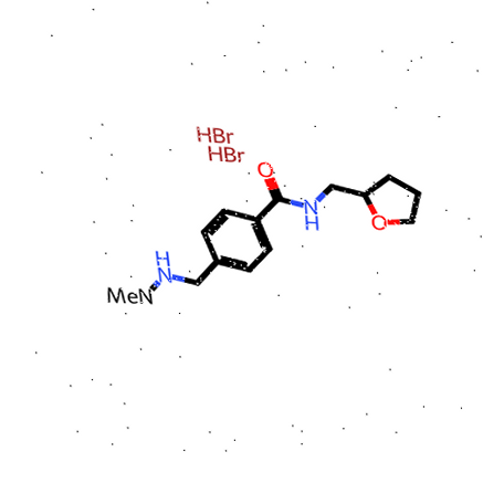 Br.Br.CNNCc1ccc(C(=O)NCC2CCCO2)cc1